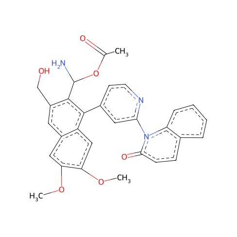 COc1cc2cc(CO)c(C(N)OC(C)=O)c(-c3ccnc(-n4c(=O)ccc5ccccc54)c3)c2cc1OC